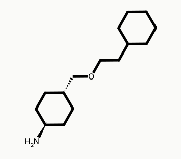 N[C@H]1CC[C@H](COCCC2CCCCC2)CC1